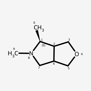 C[C@H]1C2COCC2CN1C